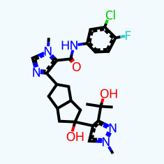 Cn1cc(C2(O)CC3CC(c4ncn(C)c4C(=O)Nc4ccc(F)c(Cl)c4)CC3C2)c(C(C)(C)O)n1